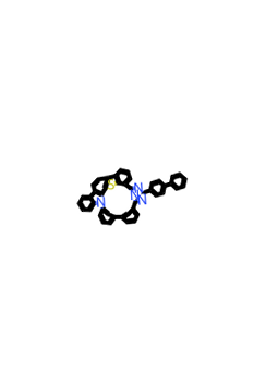 c1ccc(-c2ccc(-c3nc4nc(n3)c3cccc5c6ccc7c8ccccc8n(c8cccc(c8)c8cccc4c8)c7c6sc35)cc2)cc1